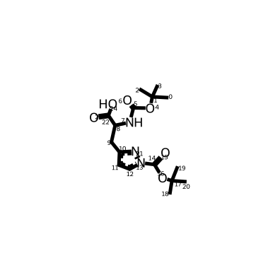 CC(C)(C)OC(=O)NC(Cc1ccn(C(=O)OC(C)(C)C)n1)C(=O)O